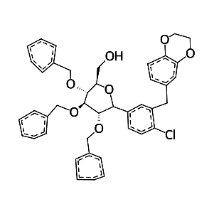 OC[C@H]1OC(c2ccc(Cl)c(Cc3ccc4c(c3)OCCO4)c2)[C@H](OCc2ccccc2)[C@@H](OCc2ccccc2)[C@@H]1OCc1ccccc1